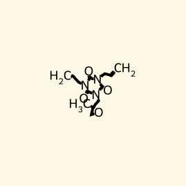 C=CCn1c(=O)n(CC=C)c(=O)n(CC2(C)CO2)c1=O